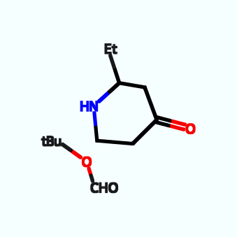 CC(C)(C)OC=O.CCC1CC(=O)CCN1